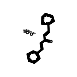 O=C(C=Cc1ccccc1)C=Cc1ccccc1.[O-2].[O-2].[Ti+4]